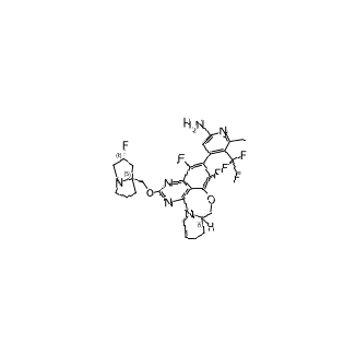 Cc1nc(N)cc(-c2c(F)c3c4c(nc(OC[C@@]56CCCN5C[C@H](F)C6)nc4c2F)N2CCCC[C@H]2CO3)c1C(F)(F)F